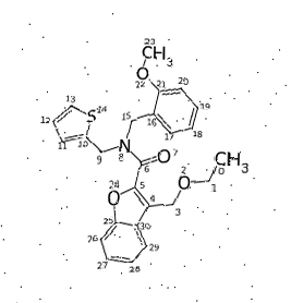 CCOCc1c(C(=O)N(Cc2cccs2)Cc2ccccc2OC)oc2ccccc12